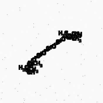 Cc1cc(C(C)(C)OO)ccc1COCCOCCOCCOCCOCCOCCOCc1ccc(C(C)(C)OO)cc1C